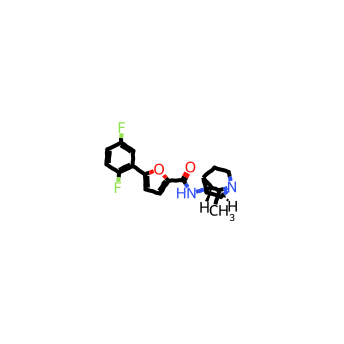 C[C@H]1[C@H](NC(=O)c2ccc(-c3cc(F)ccc3F)o2)C2CCN1CC2